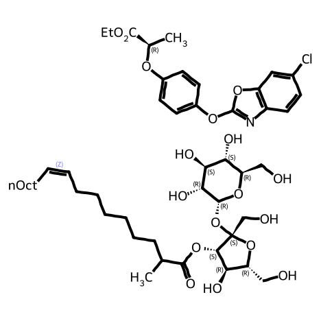 CCCCCCCC/C=C\CCCCCCC(C)C(=O)O[C@H]1[C@H](O)[C@@H](CO)O[C@@]1(CO)O[C@H]1O[C@H](CO)[C@@H](O)[C@H](O)[C@H]1O.CCOC(=O)[C@@H](C)Oc1ccc(Oc2nc3ccc(Cl)cc3o2)cc1